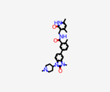 Cc1cc(C)c(CNC(=O)c2cc(-c3ccc4c(c3)n(C)c(=O)n4C3CCN(C)CC3)ccc2C)c(=O)[nH]1